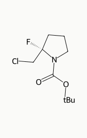 CC(C)(C)OC(=O)N1CCC[C@]1(F)CCl